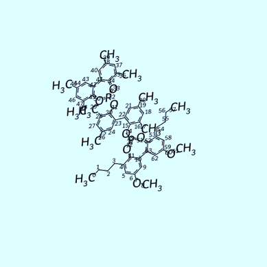 CCCCc1cc(OC)cc2c1op(Oc1c(C)cc(C)cc1-c1cc(C)cc(C)c1Op1oc3c(C)cc(C)cc3c3cc(C)cc(C)c3o1)oc1c(CCCC)cc(OC)cc12